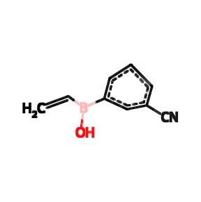 C=CB(O)c1cccc(C#N)c1